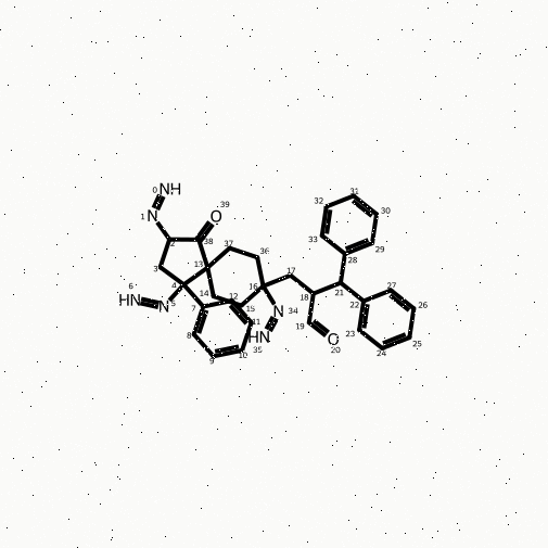 N=NC1CC(N=N)(c2ccccc2)C2(CCC(CC(C=O)C(c3ccccc3)c3ccccc3)(N=N)CC2)C1=O